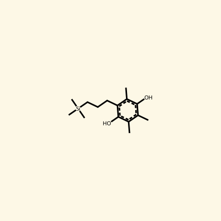 Cc1c(C)c(O)c(CCC[Si](C)(C)C)c(C)c1O